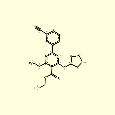 CCOC(=O)c1c(NC)nc(-c2cccc(C#N)c2)nc1OC1CCOC1